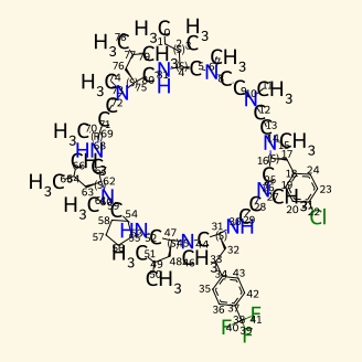 CC[C@H](C)[C@H]1CN(C)CCN(C)CCN(C)[C@@H](Cc2ccc(Cl)cc2)CN(C)CCN[C@@H](CCc2ccc(C(F)(F)F)cc2)CN(C)[C@@H](CC(C)C)CNC2(CCCC2)CN(C)[C@@H](CC(C)C)CN[C@H](C)CCN(C)[C@@H](CC(C)C)CN1